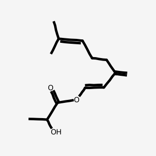 C=C(C=COC(=O)C(C)O)CCC=C(C)C